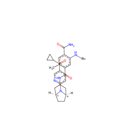 CCC(C)Nc1cc(C(=O)NC2C[C@H]3CC[C@@H](C2)N3c2ccc(C(=O)C3CC3)cn2)c(C)cc1C(N)=O